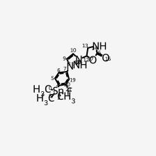 [CH3][Sn]([CH3])([CH3])[c]1ccc(N2C=CN(C3CNC(=O)O3)N2)cc1F